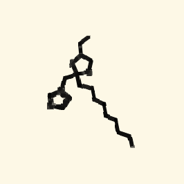 CCCCCCCCCC1(Cn2ccnc2)SCC(CC)S1